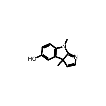 CN1C2=NC=CC2(C)c2cc(O)ccc21